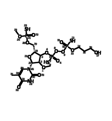 COC1C(OP(=O)(S)OOP(=O)(S)OCCCO)[C@@H](COP(=O)(S)OC)O[C@H]1n1cc(C)c(=O)[nH]c1=O